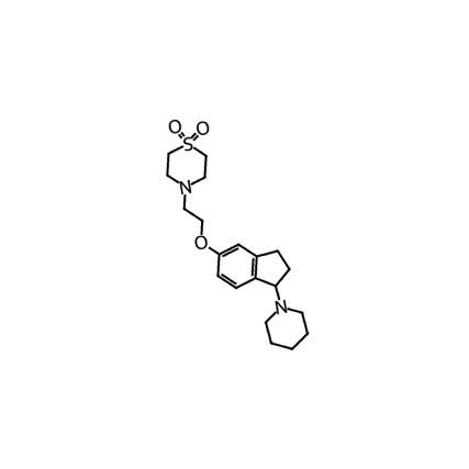 O=S1(=O)CCN(CCOc2ccc3c(c2)CCC3N2CCCCC2)CC1